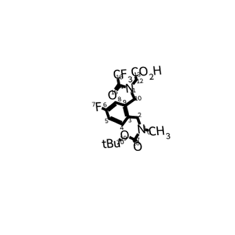 CN(Cc1ccc(F)cc1CN(CC(=O)O)C(=O)C(F)(F)F)C(=O)OC(C)(C)C